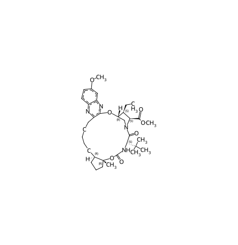 CC[C@@H]1[C@@H]2CN(C(=O)[C@H](C(C)(C)C)NC(=O)O[C@]3(C)CCC[C@H]3CCCCCc3nc4ccc(OC)cc4nc3O2)[C@@H]1C(=O)OC